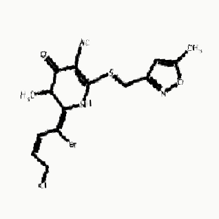 CC(=O)C1=C(SCc2cc(C)on2)N/C(=C(Br)/C=C\CCl)C(C)C1=O